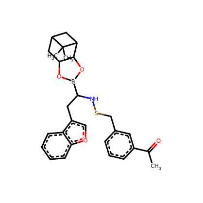 CC(=O)c1cccc(CSNC(Cc2coc3ccccc23)B2OC3CC4CC(C3O2)C4(C)C)c1